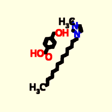 CCCCCCCCCCCCCCN1C=CN(C)C1.O=C(O)c1ccc(CO)cc1